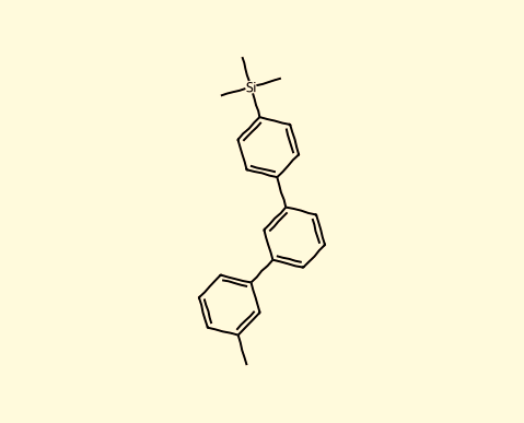 Cc1cccc(-c2cccc(-c3ccc([Si](C)(C)C)cc3)c2)c1